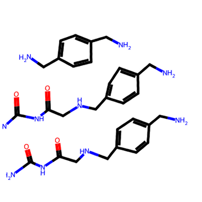 NCc1ccc(CN)cc1.NCc1ccc(CNCC(=O)NC(N)=O)cc1.NCc1ccc(CNCC(=O)NC(N)=O)cc1